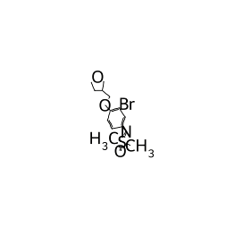 CS(C)(=O)=Nc1ccc(OCC2CCOC2)c(Br)c1